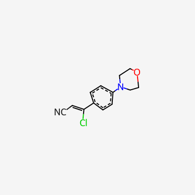 N#CC=C(Cl)c1ccc(N2CCOCC2)cc1